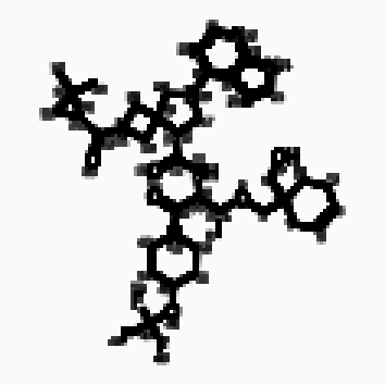 C[C@@H](OCC1(CO)CC=CCC1)[C@H](NC(=O)[C@@H]1CN(c2ncnc3ncsc23)CC12CN(C(=O)[C@H]1CC1(C)C)C2)C(=O)N1CCC(OC(F)(F)F)CC1